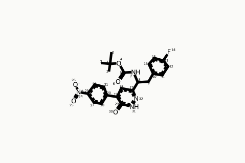 CC(C)(C)OC(=O)NC(Cc1ccc(F)cc1)c1cc(-c2ccc([N+](=O)[O-])cc2)c(=O)[nH]n1